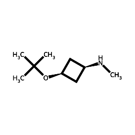 CN[C@H]1C[C@@H](OC(C)(C)C)C1